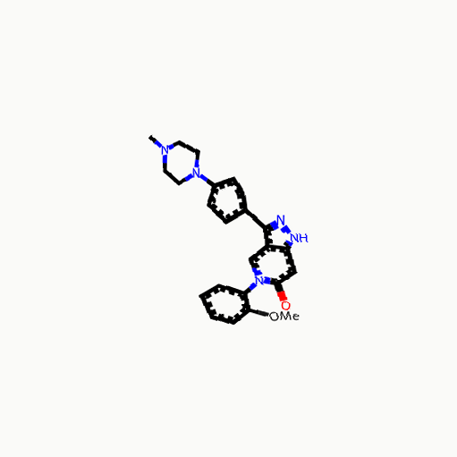 COc1ccccc1-n1cc2c(-c3ccc(N4CCN(C)CC4)cc3)n[nH]c2cc1=O